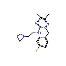 Cc1nc(Cc2ccc(F)cc2)c(NCCN2CCC2)nc1C